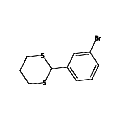 Brc1cccc(C2SCCCS2)c1